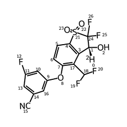 [2H][C@@]1(O)c2c(ccc(Oc3cc(F)cc(C#N)c3)c2C(F)F)S(=O)(=O)C1(F)F